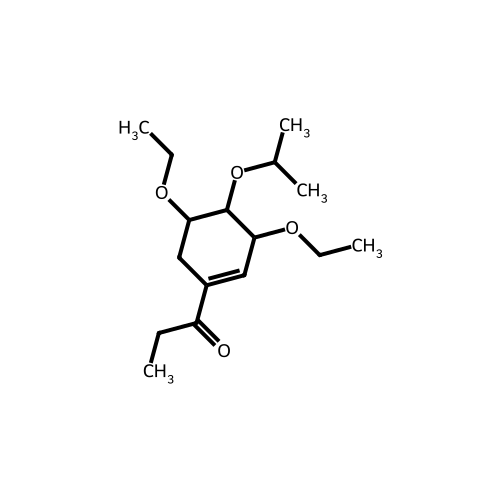 CCOC1C=C(C(=O)CC)CC(OCC)C1OC(C)C